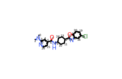 CN(C)c1cc(C(=O)NC2CCC(c3nc4cc(Cl)ccc4o3)CC2)ccn1